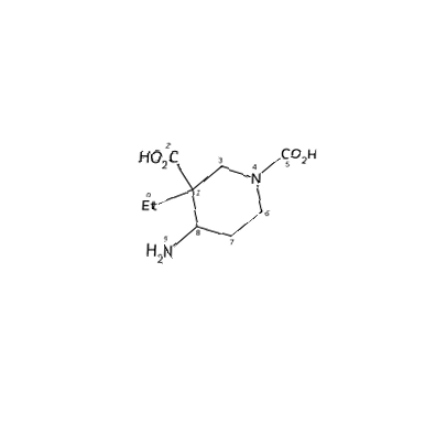 CCC1(C(=O)O)CN(C(=O)O)CCC1N